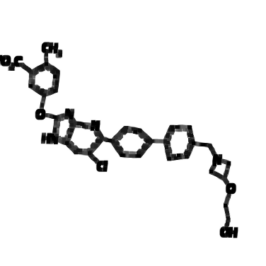 Cc1ccc(Oc2nc3nc(-c4ccc(-c5ccc(CN6CC(OCCO)C6)cc5)cc4)c(Cl)cc3[nH]2)cc1C(=O)O